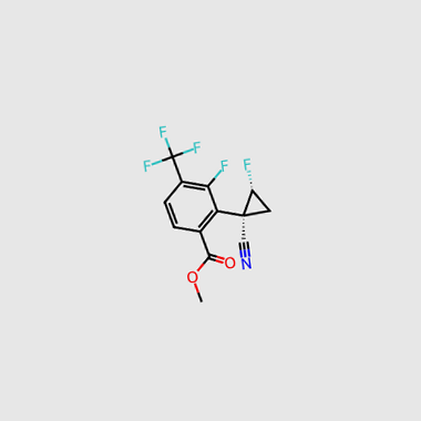 COC(=O)c1ccc(C(F)(F)F)c(F)c1[C@]1(C#N)C[C@H]1F